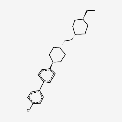 CC[C@H]1CC[C@H](CC[C@H]2CC[C@H](c3ccc(-c4ccc(Cl)cc4)cc3)CC2)CC1